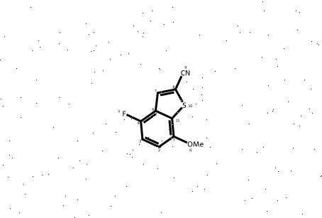 COc1ccc(F)c2cc(C#N)sc12